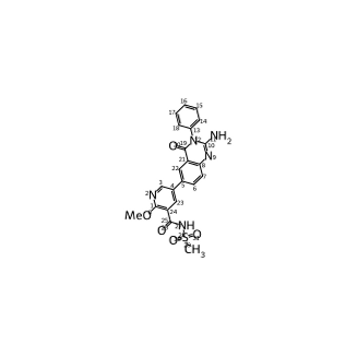 COc1ncc(-c2ccc3nc(N)n(-c4ccccc4)c(=O)c3c2)cc1C(=O)NS(C)(=O)=O